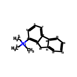 C[N+](C)(C)c1cccc2c1Cc1ccccc1-2